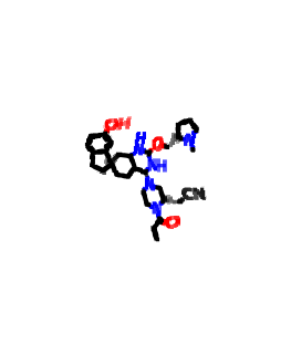 C=CC(=O)N1CCN(C2NC(OC[C@@H]3CCCN3C)NC3C[C@]4(CCc5ccc(O)cc54)CCC32)C[C@@H]1CC#N